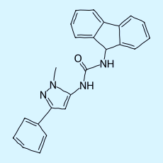 Cn1nc(-c2ccccc2)cc1NC(=O)NC1c2ccccc2-c2ccccc21